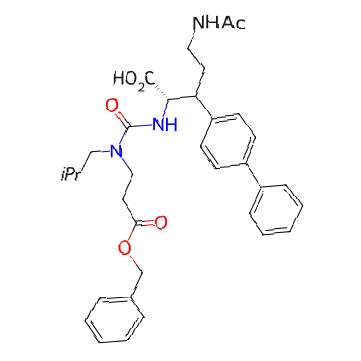 CC(=O)NCCC(c1ccc(-c2ccccc2)cc1)[C@H](NC(=O)N(CCC(=O)OCc1ccccc1)CC(C)C)C(=O)O